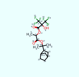 CC(OC(=O)C(O)(C(F)(F)F)C(F)(F)F)C(=O)OC(C)(C)C1CC2CCC1C2